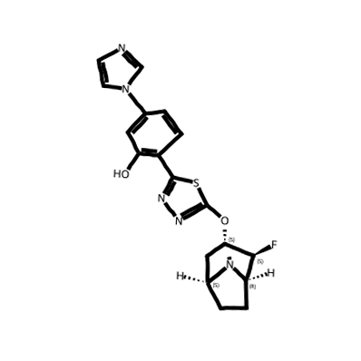 CN1[C@H]2CC[C@@H]1[C@H](F)[C@@H](Oc1nnc(-c3ccc(-n4ccnc4)cc3O)s1)C2